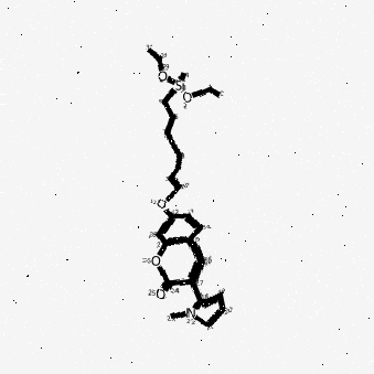 CCO[Si](C)(CCCCCCOc1ccc2cc(-c3cccn3C)c(=O)oc2c1)OCC